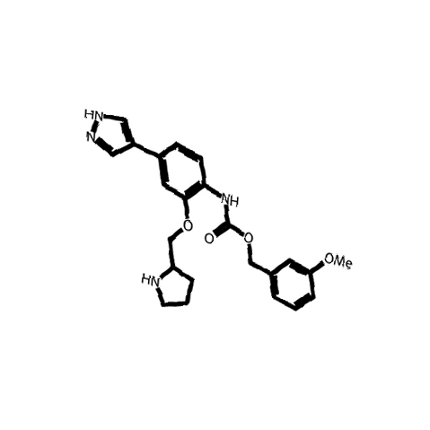 COc1cccc(COC(=O)Nc2ccc(-c3cn[nH]c3)cc2OCC2CCCN2)c1